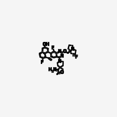 C#Cc1c(F)ccc2cc(O)cc(-c3ccc4c(N5CCC6(CC5)CO[C@@H](C)[C@H]6N)nc(OC[C@@]56CCCN5C[C@H](F)C6)nc4c3F)c12